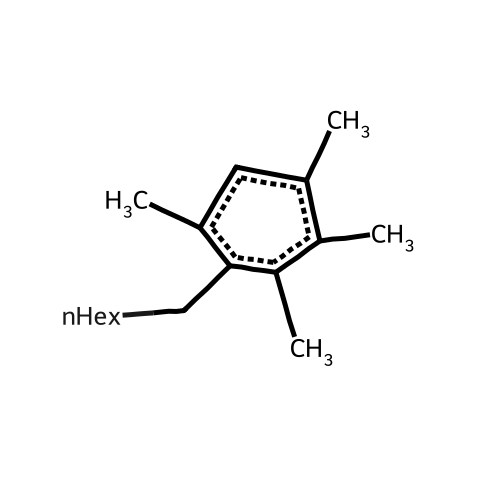 [CH2]CCCCCCc1c(C)cc(C)c(C)c1C